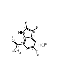 Cc1[nH]c2c(C(N)=O)cc(F)cc2c1C.Cl